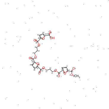 COC(=O)c1ccc(C(=O)OCCCOC(=O)c2ccc(C(=O)OCCCOC(=O)c3ccc(C(=O)O)o3)o2)o1